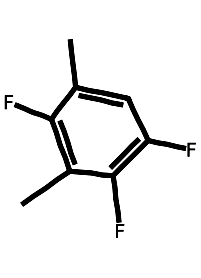 Cc1cc(F)c(F)c(C)c1F